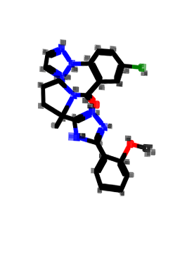 CC1(c2nnc(-c3ccccc3OC(F)(F)F)[nH]2)CCCN1C(=O)c1cc(Cl)ccc1-n1nccn1